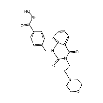 O=C(NO)c1ccc(Cn2c(=O)n(CCN3CCOCC3)c(=O)c3ccccc32)cc1